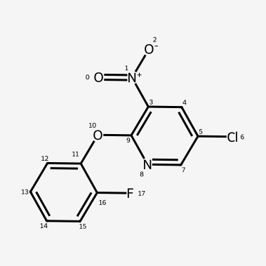 O=[N+]([O-])c1cc(Cl)cnc1Oc1ccccc1F